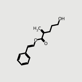 C=C(CCCO)C(=O)OC=Cc1ccccc1